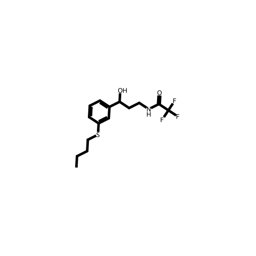 CCCCSc1cccc(C(O)CCNC(=O)C(F)(F)F)c1